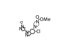 COC(=O)N1CCN(c2cc3c(cnn3-c3cnn(C4CC4)c3)cc2Cl)CC1